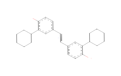 Oc1ccc(/C=C/c2ccc(O)c(C3CCCCC3)c2)cc1C1CCCCC1